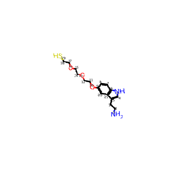 NCCc1c[nH]c2ccc(OCCOCCOCCS)cc12